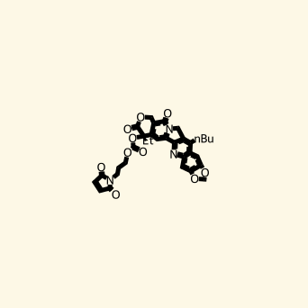 CCCCc1c2c(nc3cc4c(cc13)OCO4)-c1cc3c(c(=O)n1C2)COC(=O)[C@@]3(CC)OC(=O)OCCCN1C(=O)C=CC1=O